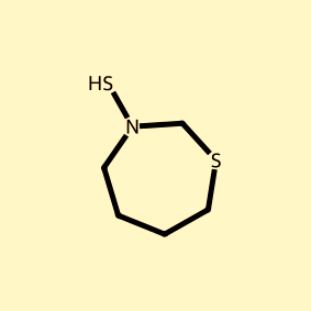 SN1CCCCSC1